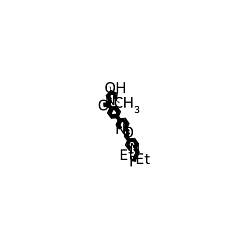 CCC(F)(CC)CN1CCC(COc2ccc(-c3ccc(C(=O)N4C[C@H](O)C[C@@H]4C)cc3)cn2)CC1